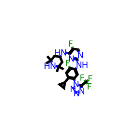 CC1(C)CC(Nc2nc(Nc3cc(-n4nnnc4C(F)(F)F)c(C4CC4)cc3F)ncc2F)CC(C)(C)N1